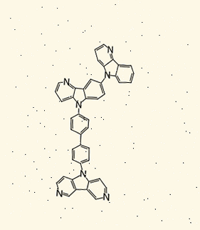 c1ccc2c(c1)c1ncccc1n2-c1ccc2c(c1)c1ncccc1n2-c1ccc(-c2ccc(-n3c4ccncc4c4cnccc43)cc2)cc1